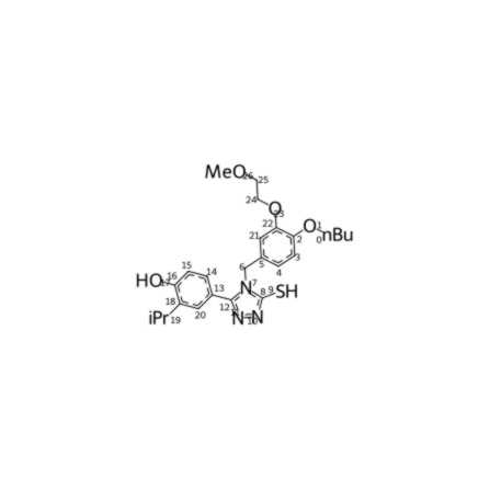 CCCCOc1ccc(Cn2c(S)nnc2-c2ccc(O)c(C(C)C)c2)cc1OCCOC